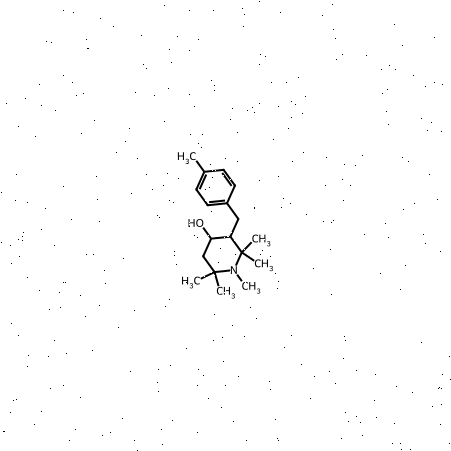 Cc1ccc(CC2C(O)CC(C)(C)N(C)C2(C)C)cc1